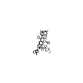 Cc1cnc2c(NC(=O)c3cc4c(cc3OC3CCC3)N(OC(=O)C(F)(F)F)N(C35COC(C)(C3)C5)C4)cnn2c1